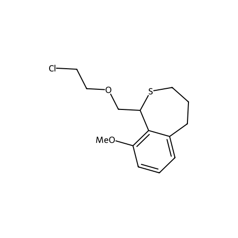 COc1cccc2c1C(COCCCl)SCCC2